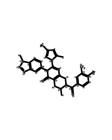 Cc1cc(C(C)C)nn1-c1nc2c(c(=O)n1-c1ccc3c(c1)nnn3C)CC(C)N(C(=O)c1ccc(Br)c(C(F)(F)F)c1)C2